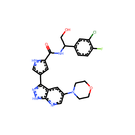 O=C(NC(CO)c1ccc(F)c(Cl)c1)c1cc(-c2n[nH]c3ncc(N4CCOCC4)cc23)c[nH]1